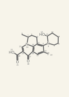 CC1CCc2c(N3CCCC[C@@H]3O)c(F)cc3c(=O)c(C(=O)O)cn1c23